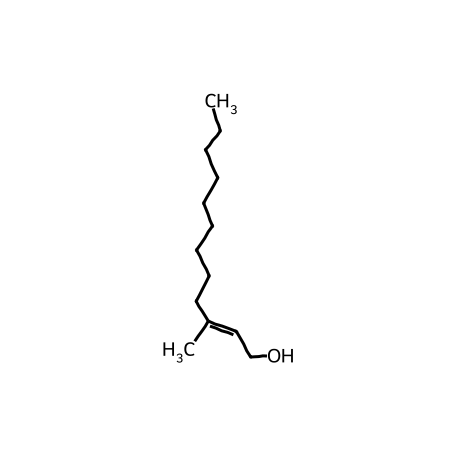 CCCCCCCCCC(C)=CCO